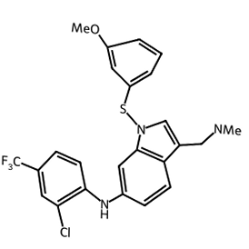 CNCc1cn(Sc2cccc(OC)c2)c2cc(Nc3ccc(C(F)(F)F)cc3Cl)ccc12